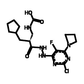 O=C(O)NC[C@@H](CC1CCCC1)C(=O)NNc1nc(Cl)nc(N2CCC2)c1F